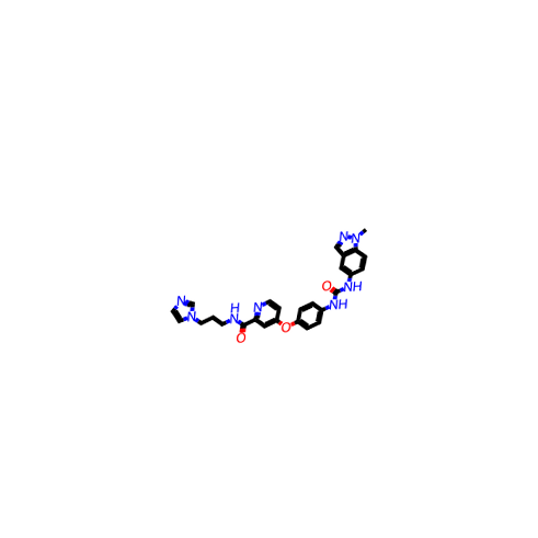 Cn1ncc2cc(NC(=O)Nc3ccc(Oc4ccnc(C(=O)NCCCn5ccnc5)c4)cc3)ccc21